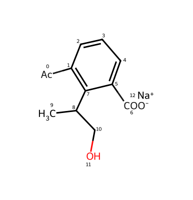 CC(=O)c1cccc(C(=O)[O-])c1C(C)CO.[Na+]